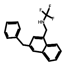 FC(F)(F)NCc1cc(Cc2ccccc2)cc2ccccc12